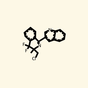 CC1(CCl)N=C(c2cnc3ccccc3c2)c2ccccc2C1(F)F